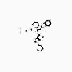 CC(C)(C)OC(=O)N1CCC[C@@H](C2(CCNc3ncnc4c3ncn4C3CCCCO3)Nc3ccccc3N2)C1